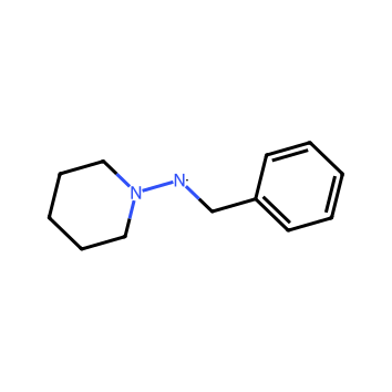 c1ccc(C[N]N2CCCCC2)cc1